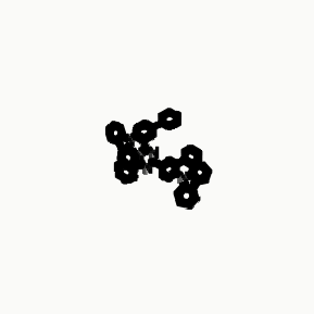 c1ccc(-c2ccc(-n3c4ccccc4c4ccccc43)c(-c3nc(-c4ccccc4)nc(-c4ccc(-n5c6ccccc6c6ccccc65)c(-c5ccccc5)c4)n3)c2)cc1